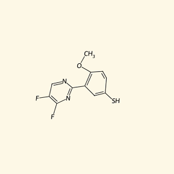 COc1ccc(S)cc1-c1ncc(F)c(F)n1